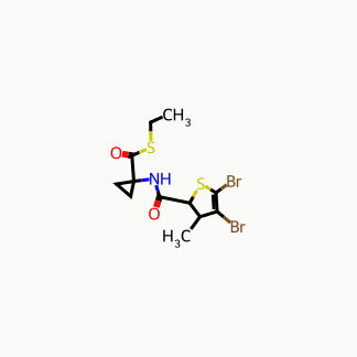 CCSC(=O)C1(NC(=O)C2SC(Br)=C(Br)C2C)CC1